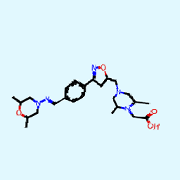 CC1CN(N=Cc2ccc(C3=NOC(CN4CC(C)N(CC(=O)O)C(C)C4)C3)cc2)CC(C)O1